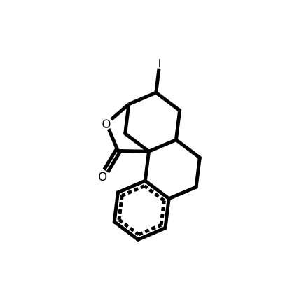 O=C1OC2CC13c1ccccc1CCC3CC2I